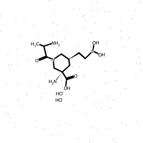 CC(N)C(=O)N1C[C@@H](CCB(O)O)C[C@@](N)(C(=O)O)C1.Cl.Cl